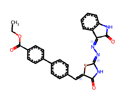 CCOC(=O)c1ccc(-c2ccc(/C=C3\S/C(=N\N=C4/C(=O)Nc5ccccc54)NC3=O)cc2)cc1